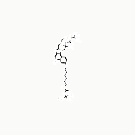 CCOCc1nc2c[n+]([O-])c3cc(OCCCCCCNC(=O)OC(C)(C)C)ccc3c2n1CC(C)(C)NC(=O)NC(C)C